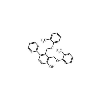 Oc1ccc(-c2ccccc2)c(COc2ccccc2C(F)(F)F)c1COc1ccccc1C(F)(F)F